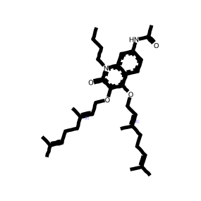 CCCCn1c(=O)c(OC/C=C(\C)CCC=C(C)C)c(OC/C=C(\C)CCC=C(C)C)c2ccc(NC(C)=O)cc21